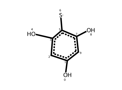 Oc1cc(O)c([S])c(O)c1